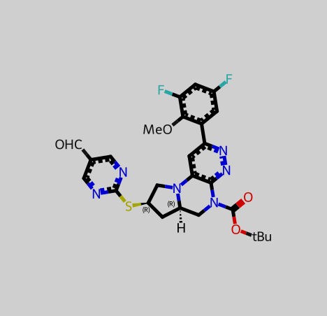 COc1c(F)cc(F)cc1-c1cc2c(nn1)N(C(=O)OC(C)(C)C)C[C@H]1C[C@@H](Sc3ncc(C=O)cn3)CN21